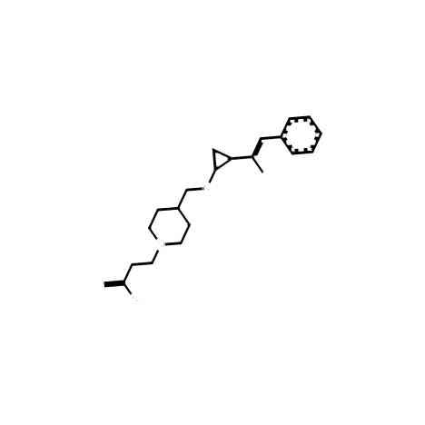 C=C(N)CCN1CCC(CNC2CC2/C(C)=C/c2ccccc2)CC1